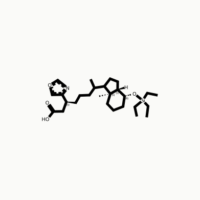 CC[Si](CC)(CC)O[C@@H]1CCC[C@@]2(C)C(C(C)CCC[C@@H](CC(=O)O)c3cocn3)CC[C@H]12